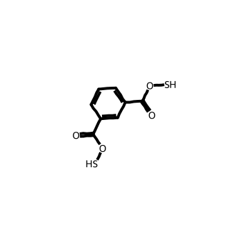 O=C(OS)c1cccc(C(=O)OS)c1